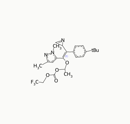 Cc1cc(/C(OC(C)OC(=O)OCC(F)(F)F)=C(/c2ccc(C(C)(C)C)cc2)C2C=N2)n(C)n1